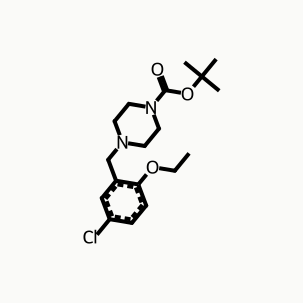 CCOc1ccc(Cl)cc1CN1CCN(C(=O)OC(C)(C)C)CC1